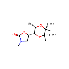 CC[C@H]1O[C@@](C)(OC)[C@](C)(OC)O[C@@H]1C1CN(C)C(=O)O1